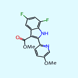 COC(=O)c1c(-c2ccc(OC)cn2)[nH]c2c(F)cc(F)cc12